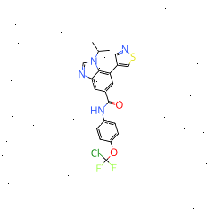 CC(C)n1cnc2cc(C(=O)Nc3ccc(OC(F)(F)Cl)cc3)cc(-c3cnsc3)c21